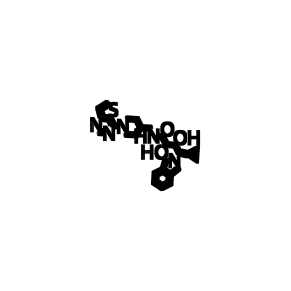 O=C(NCC1CCN(c2ncnc3ccsc23)CC1)C(O)C(O)C(=C1CC1)N1Cc2ccccc2C1